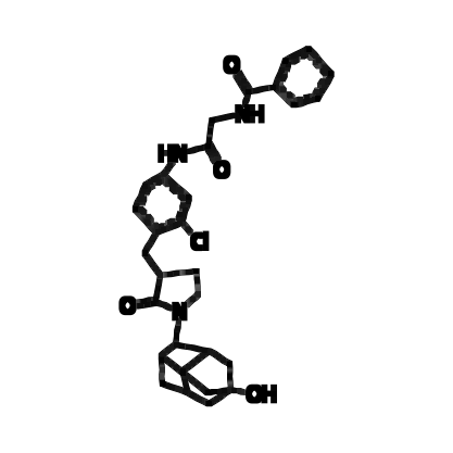 O=C(CNC(=O)c1ccccc1)Nc1ccc(CC2CCN(C3C4CC5CC3CC(O)(C5)C4)C2=O)c(Cl)c1